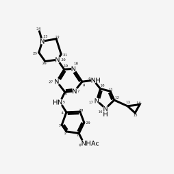 CC(=O)Nc1ccc(Nc2nc(Nc3cc(C4CC4)[nH]n3)nc(N3CCN(C)CC3)n2)cc1